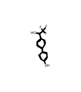 Oc1ccc(-c2ccc(C(O)C(F)(F)F)cc2)cc1